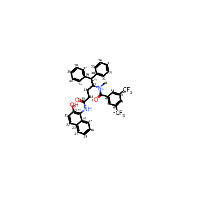 CN(C(=O)c1cc(C(F)(F)F)cc(C(F)(F)F)c1)C(CCC(=O)Nc1c(O)ccc2ccccc12)C(c1ccccc1)c1ccccc1